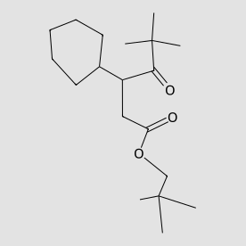 CC(C)(C)COC(=O)CC(C(=O)C(C)(C)C)C1CCCCC1